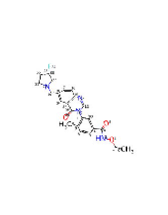 CCONC(=O)c1ccc(C)c(-n2cnc3ccc(CN4CC[C@H](F)C4)cc3c2=O)c1